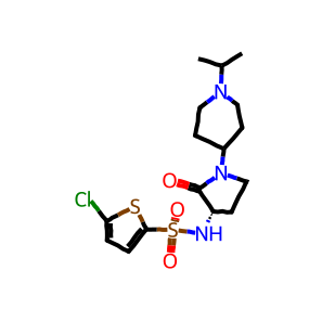 CC(C)N1CCC(N2CC[C@H](NS(=O)(=O)c3ccc(Cl)s3)C2=O)CC1